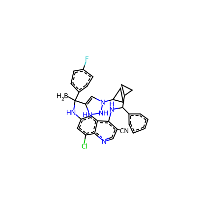 BC(Nc1cc(Cl)c2ncc(C#N)c(NC(c3ccccc3)C3CC3)c2c1)(C1=CN(C2CC2)NN1)c1ccc(F)cc1